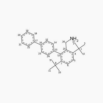 CC(C)(C)c1ccc(C(C)(C)C)c(-c2ccc(-c3ccccc3)cc2)c1CN